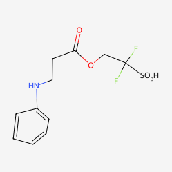 O=C(CCNc1ccccc1)OCC(F)(F)S(=O)(=O)O